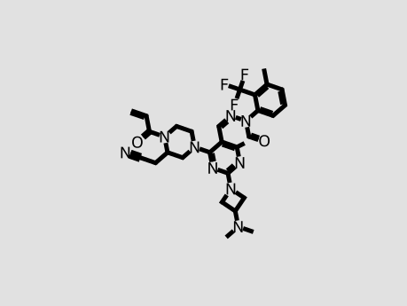 C=CC(=O)N1CCN(c2nc(N3CC(N(C)C)C3)nc(C)c2/C=N\N(C=O)c2cccc(C)c2C(F)(F)F)CC1CC#N